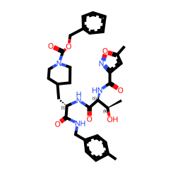 Cc1ccc(CNC(=O)[C@H](CC2CCN(C(=O)OCc3ccccc3)CC2)NC(=O)[C@@H](NC(=O)c2cc(C)on2)[C@@H](C)O)cc1